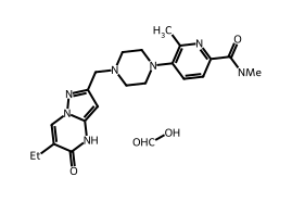 CCc1cn2nc(CN3CCN(c4ccc(C(=O)NC)nc4C)CC3)cc2[nH]c1=O.O=CO